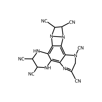 N#CC1=Nc2c3c(c4c(c2N(C#N)C1)n1n4C(C#N)C1C#N)NC(C#N)C(C#N)N3